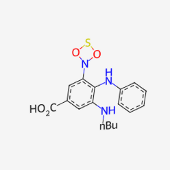 CCCCNc1cc(C(=O)O)cc(N2OSO2)c1Nc1ccccc1